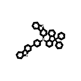 c1ccc(C2(c3ccccc3)c3ccccc3-c3c(N(c4ccc(-c5ccc6c(c5)sc5ccccc56)cc4)c4ccc5sc6ccccc6c5c4)cccc32)cc1